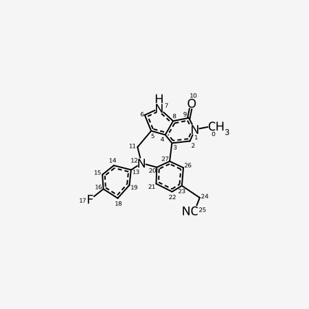 Cn1cc2c3c(c[nH]c3c1=O)CN(c1ccc(F)cc1)c1ccc(CC#N)cc1-2